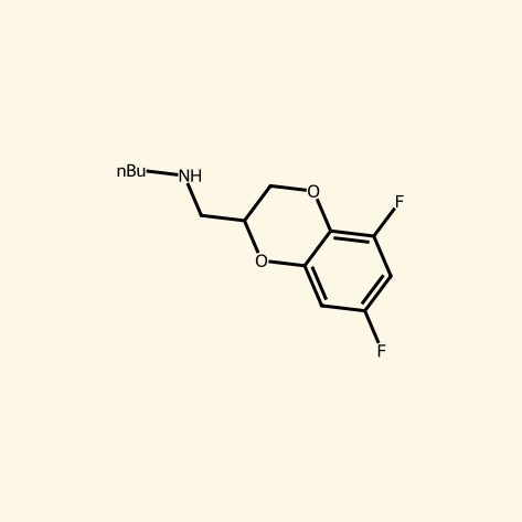 CCCCNCC1COc2c(F)cc(F)cc2O1